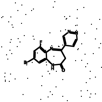 O=C1CC(c2ccnnc2)=Nc2c(F)cc(Br)cc2N1